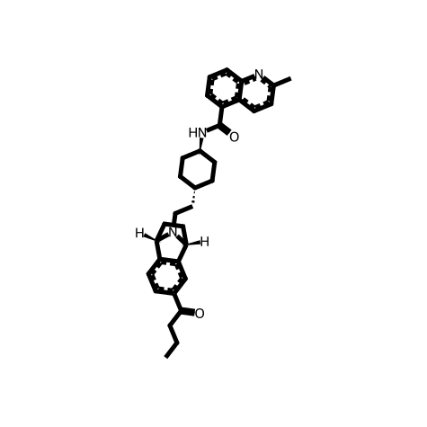 CCCC(=O)c1ccc2c(c1)[C@H]1CC[C@@H]2N1CC[C@H]1CC[C@H](NC(=O)c2cccc3nc(C)ccc23)CC1